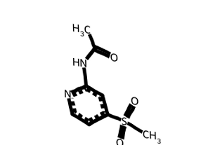 CC(=O)Nc1cc(S(C)(=O)=O)ccn1